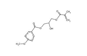 C=C(C)C(=O)OCC(O)COC(=O)c1ccc(OC)cc1